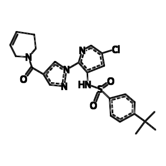 CC(C)(C)c1ccc(S(=O)(=O)Nc2cc(Cl)cnc2-n2cc(C(=O)N3CC=CCC3)cn2)cc1